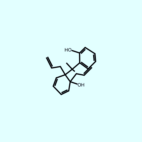 C=CCC1(O)C=CC=CC1(CC=C)C(C)(C)c1ccccc1O